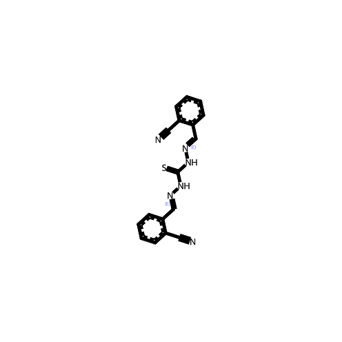 N#Cc1ccccc1/C=N/NC(=S)N/N=C/c1ccccc1C#N